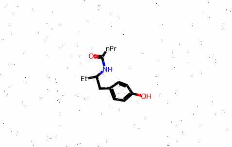 CCCC(=O)NC(CC)Cc1ccc(O)cc1